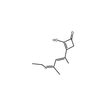 CC/N=C(C)\C=C(/C)C1=C(O)C(=O)C1